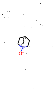 [O-][N+]12[CH]CC(CC1)CC2